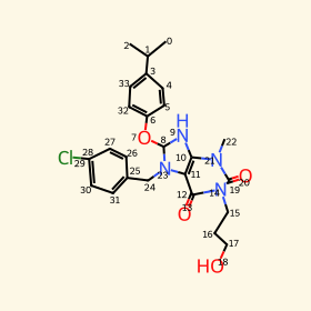 CC(C)c1ccc(OC2Nc3c(c(=O)n(CCCO)c(=O)n3C)N2Cc2ccc(Cl)cc2)cc1